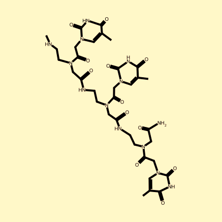 CNCCN(CC(=O)NCCN(CC(=O)NCCN(CC(N)=O)C(=O)Cn1cc(C)c(=O)[nH]c1=O)C(=O)Cn1cc(C)c(=O)[nH]c1=O)C(=O)Cn1cc(C)c(=O)[nH]c1=O